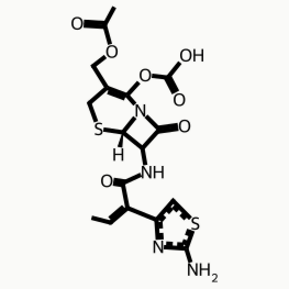 C/C=C(\C(=O)NC1C(=O)N2C(OC(=O)O)=C(COC(C)=O)CS[C@@H]12)c1csc(N)n1